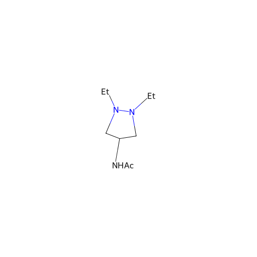 CCN1CC(NC(C)=O)CN1CC